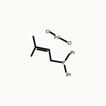 CC(C)=CCP(C(C)C)C(C)C.[Cl][Pd][Cl]